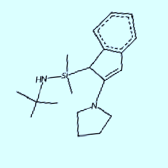 CC(C)(C)N[Si](C)(C)C1C(N2CCCC2)=Cc2ccccc21